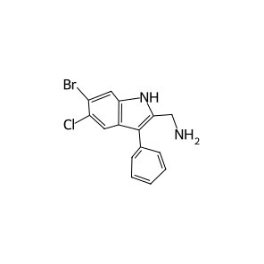 NCc1[nH]c2cc(Br)c(Cl)cc2c1-c1ccccc1